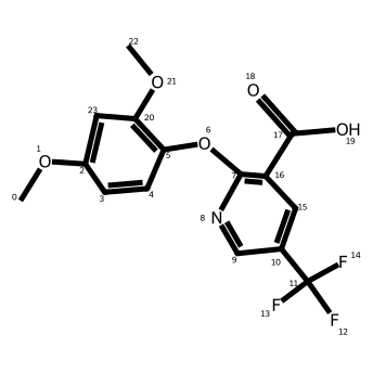 COc1ccc(Oc2ncc(C(F)(F)F)cc2C(=O)O)c(OC)c1